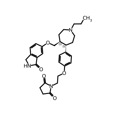 CCCN1CC[C@H](COc2ccc3c(c2)C(=O)NC3)[C@@H](c2ccc(OCCN3C(=O)CCC3=O)cc2)CC1